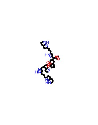 O=C(CC(Cc1cc(CCCc2ccc3c(n2)NCCC3)[nH]n1)c1cccnc1)OC(=O)CC(Cc1ccccc1)C(C1=COCO1)c1cc(CCCc2ccc3c(n2)NCCC3)[nH]n1